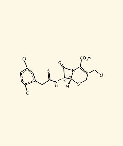 O=C(O)C1=C(CCl)CS[C@@H]2[C@H](NC(=S)Cc3cc(Cl)ccc3Cl)C(=O)N12